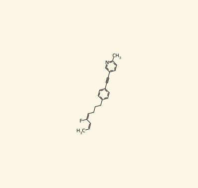 C/C=C\C(F)=C/CCCc1ccc(C#Cc2ccc(C)nc2)cc1